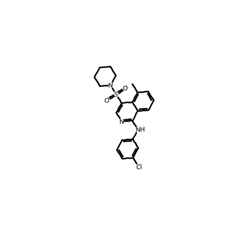 Cc1cccc2c(Nc3cccc(Cl)c3)ncc(S(=O)(=O)N3CCCCC3)c12